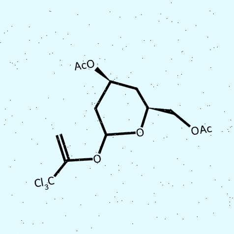 C=C(OC1C[C@@H](OC(C)=O)C[C@@H](COC(C)=O)O1)C(Cl)(Cl)Cl